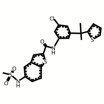 CC(C)(c1cc(Cl)cc(NC(=O)c2cc3cc(NS(C)(=O)=O)ccc3s2)c1)c1cccs1